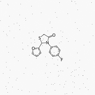 O=C1CSC(c2ccco2)N1c1ccc(F)cc1